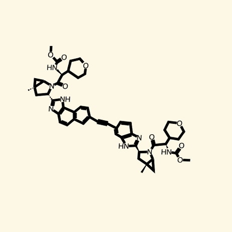 COC(=O)N[C@H](C(=O)N1C2C[C@]2(C)C[C@H]1c1nc2ccc(C#Cc3ccc4c(ccc5nc([C@@H]6C[C@@]7(C)CC7N6C(=O)[C@@H](NC(=O)OC)C6CCOCC6)[nH]c54)c3)cc2[nH]1)C1CCOCC1